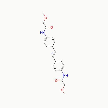 COCC(=O)Nc1ccc(/C=C/c2ccc(NC(=O)COC)cc2)cc1